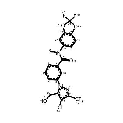 CN(C(=O)c1cccc(-n2nc(C(F)(F)F)c(Cl)c2CO)c1)c1ccc2c(c1)OC(F)(F)O2